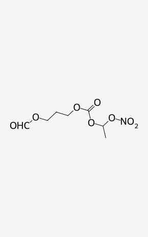 CC(OC(=O)OCCCOC=O)O[N+](=O)[O-]